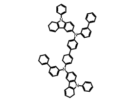 C1=CC(c2cccc(N(C3=CC=C(c4ccc(N(c5cccc(-c6ccccc6)c5)c5ccc6c(c5)c5c(n6-c6ccccc6)CCC=C5)cc4)CC3)c3ccc4c(c3)c3c(n4-c4ccccc4)CCC=C3)c2)=CCC1